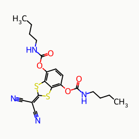 CCCCNC(=O)Oc1ccc(OC(=O)NCCCC)c2c1SC(=C(C#N)C#N)S2